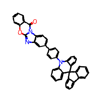 O=c1c2ccccc2oc2nc3cc(-c4ccc(N5c6ccccc6C6(c7ccccc7-c7ccccc76)c6ccccc65)cc4)ccc3n12